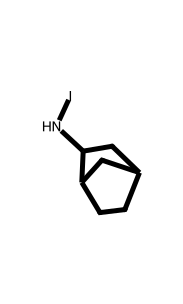 INC1CC2CCC1C2